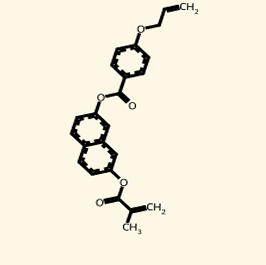 C=CCOc1ccc(C(=O)Oc2ccc3ccc(OC(=O)C(=C)C)cc3c2)cc1